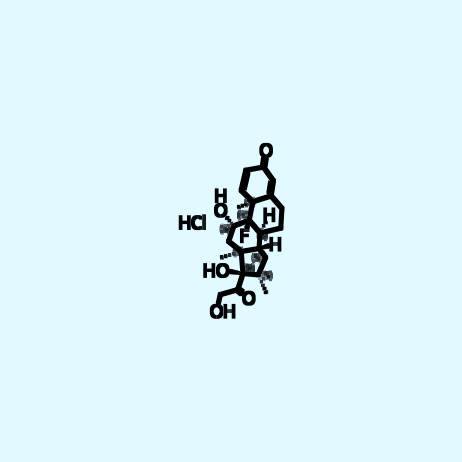 C[C@H]1C[C@H]2[C@@H]3CCC4=CC(=O)C=C[C@]4(C)[C@@]3(F)[C@@H](O)C[C@]2(C)[C@@]1(O)C(=O)CO.Cl